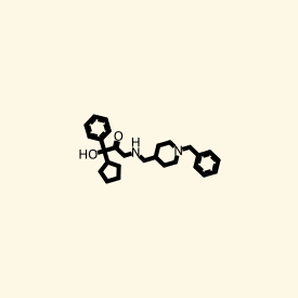 O=C(CNCC1CCN(Cc2ccccc2)CC1)C(O)(c1ccccc1)C1CCCC1